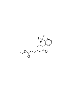 CCOC(=O)CCC1CCC(c2cccnc2C(F)(F)F)C(=O)C1